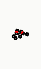 c1ccc(-c2cccc(-c3ccccc3N(c3cccc(-c4cccc5ccccc45)c3)c3ccccc3-c3ccccc3)c2)cc1